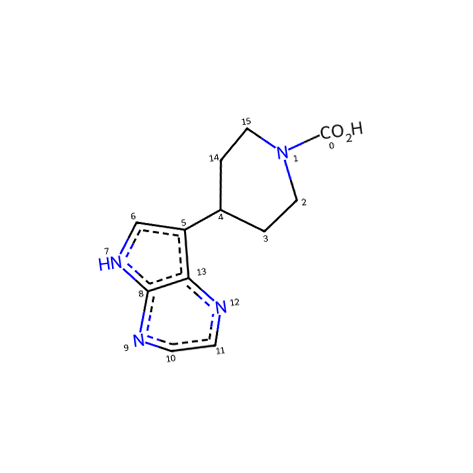 O=C(O)N1CCC(c2c[nH]c3nccnc23)CC1